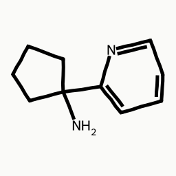 NC1(c2ccccn2)CCCC1